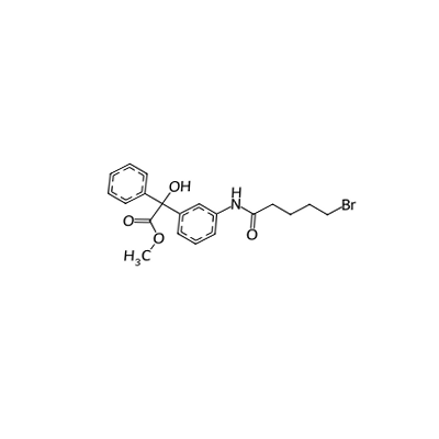 COC(=O)C(O)(c1ccccc1)c1cccc(NC(=O)CCCCBr)c1